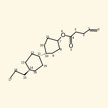 C=CCCC(=O)OC1CCC([C@H]2CC[C@H](CCC)CC2)CC1